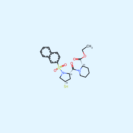 CCOC(=O)[C@@H]1CCCCN1C(=O)[C@@H]1C[C@H](S)CN1S(=O)(=O)c1ccc2ccccc2c1